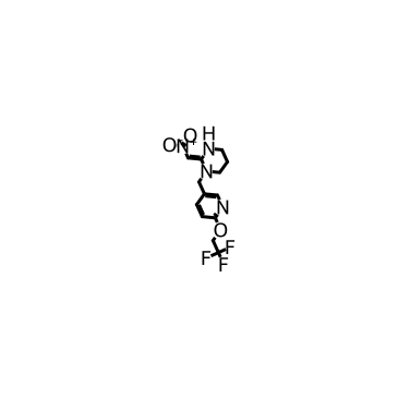 O=[N+]([O-])C=C1NCCCN1Cc1ccc(OCC(F)(F)F)nc1